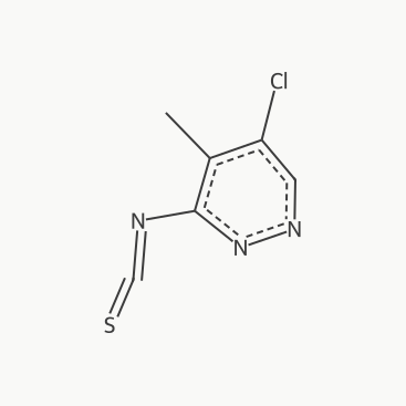 Cc1c(Cl)cnnc1N=C=S